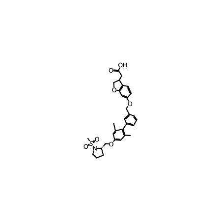 Cc1cc(OC[C@H]2CCCN2S(C)(=O)=O)cc(C)c1-c1cccc(COc2ccc3c(c2)OCC3CC(=O)O)c1